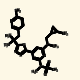 CC1CC1CN(C)c1cc(-c2nnc(C(C)(N)Cc3ccc(N)nc3)o2)cc(N(C)S(C)(=O)=O)n1